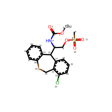 CC(C)(C)OC(=O)NC(COS(C)(=O)=O)C1c2ccccc2SCc2c(Cl)cccc21